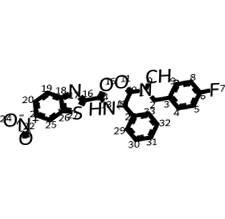 CN(Cc1ccc(F)cc1)C(=O)[C@@H](NC(=O)c1nc2ccc([N+](=O)[O-])cc2s1)c1ccccc1